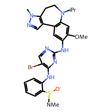 CN[S+]([O-])c1ccccc1Nc1nc(Nc2cc3c(cc2OC)N(C(C)C)CCc2c-3cnn2C)ncc1Br